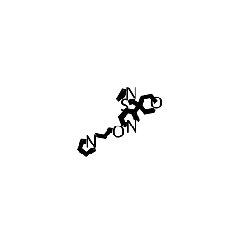 c1csc(C2(c3ccc(OCCCN4CCCC4)nc3)CCOCC2)n1